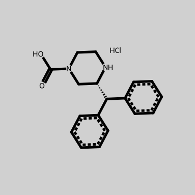 Cl.O=C(O)N1CCN[C@H](C(c2ccccc2)c2ccccc2)C1